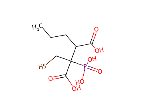 CCCC(C(=O)O)C(CS)(C(=O)O)P(=O)(O)O